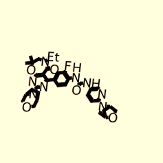 CCN1CC(C)(C)Oc2nc(N3C4CCC3COC4)nc(-c3ccc(NC(=O)Nc4ccc(N5CC6CC5CO6)nc4)c(F)c3)c2C1=O